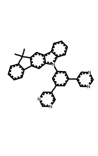 CC1(C)c2ccccc2-c2cc3c(cc21)c1ccccc1n3-c1cc(-c2cncnc2)cc(-c2cncnc2)c1